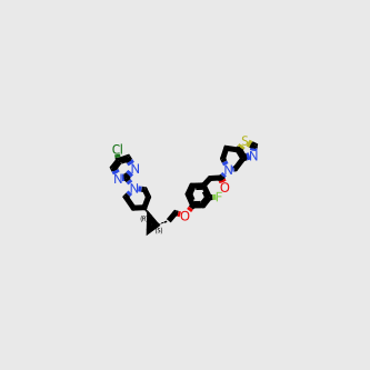 O=C(Cc1ccc(OCC[C@@H]2C[C@@H]2C2CCN(c3ncc(Cl)cn3)CC2)cc1F)N1CCc2scnc2C1